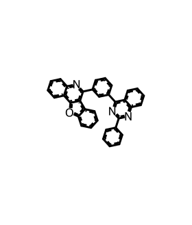 c1ccc(-c2nc(-c3cccc(-c4nc5ccccc5c5oc6ccccc6c45)c3)c3ccccc3n2)cc1